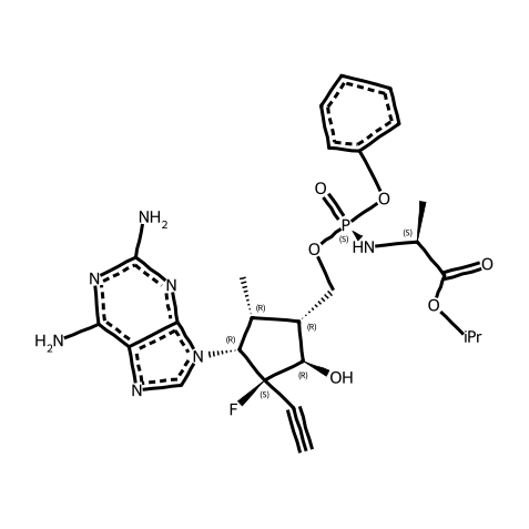 C#C[C@@]1(F)[C@H](O)[C@@H](CO[P@@](=O)(N[C@@H](C)C(=O)OC(C)C)Oc2ccccc2)[C@@H](C)[C@H]1n1cnc2c(N)nc(N)nc21